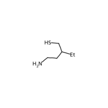 CCC(CS)CCN